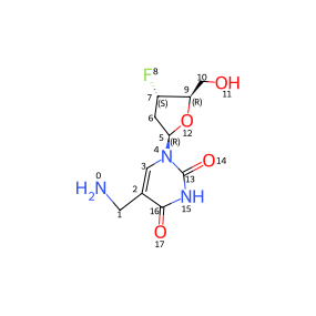 NCc1cn([C@H]2C[C@H](F)[C@@H](CO)O2)c(=O)[nH]c1=O